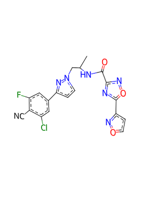 CC(Cn1ccc(-c2cc(F)c(C#N)c(Cl)c2)n1)NC(=O)c1noc(-c2ccon2)n1